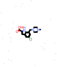 CN1CCN(Cc2cc(Cl)cc3cc(C(=O)O)[nH]c23)CC1